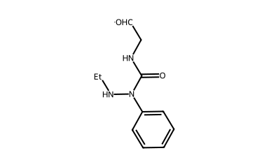 CCNN(C(=O)NC[C]=O)c1ccccc1